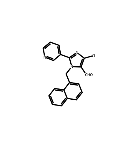 O=Cc1c(Cl)nc(-c2cccnc2)n1Cc1cccc2ccccc12